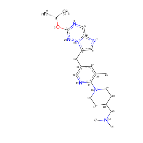 CCC[C@@H](Oc1ncc2ncc(Cc3cnc(N4CCC(CN(C)C)CC4)c(C)c3)n2n1)C(F)(F)F